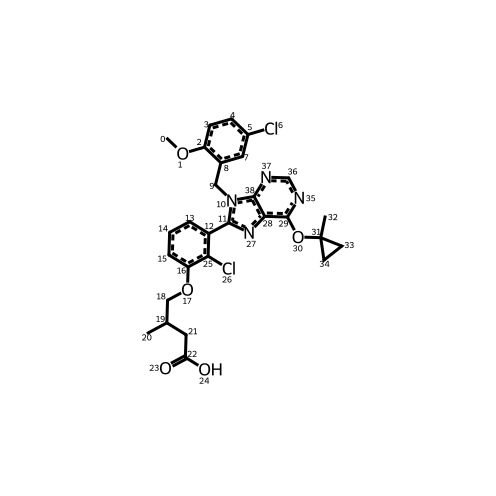 COc1ccc(Cl)cc1Cn1c(-c2cccc(OCC(C)CC(=O)O)c2Cl)nc2c(OC3(C)CC3)ncnc21